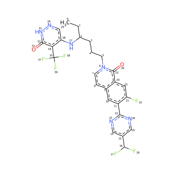 CCC(CCCn1ccc2cc(-c3ncc(C(F)F)cn3)c(F)cc2c1=O)Nc1cn[nH]c(=O)c1C(F)(F)F